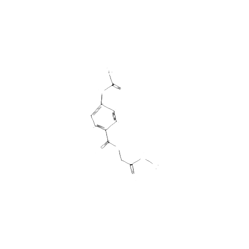 CCC(C)C(=O)Oc1ccc(C(=O)OCC(=O)OC(C)(C)C)cc1